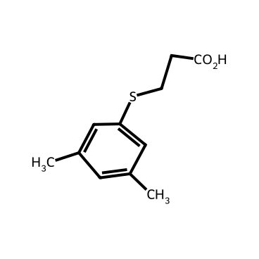 Cc1cc(C)cc(SCCC(=O)O)c1